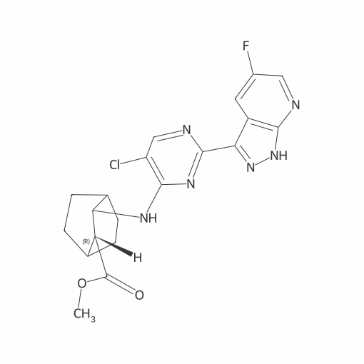 COC(=O)[C@@H]1C2CCC(CC2)C1Nc1nc(-c2n[nH]c3ncc(F)cc23)ncc1Cl